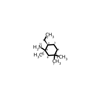 CC[C@H]1CCC(C)(C)C[C@@]1(C)N